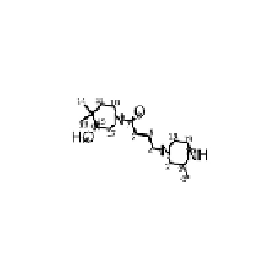 C[C@H]1CN(CCCC(=O)N2CCC(C)(C)[C@H](O)C2)CCN1